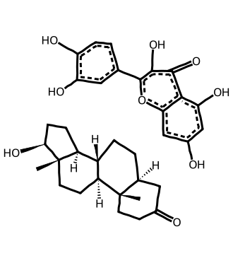 C[C@]12CCC(=O)C[C@@H]1CC[C@@H]1[C@@H]2CC[C@]2(C)[C@@H](O)CC[C@@H]12.O=c1c(O)c(-c2ccc(O)c(O)c2)oc2cc(O)cc(O)c12